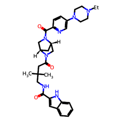 CCN1CCN(c2ccc(C(=O)N3C[C@@H]4C[C@H]3CN4C(=O)CC(C)(C)CNC(=O)c3cc4ccccc4[nH]3)nc2)CC1